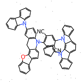 N#Cc1cc(-n2c3ccccc3c3ccc4c5ccccc5n(-c5ccccc5)c4c32)c(C#N)cc1N1c2ccc(-n3c4ccccc4c4ccccc43)cc2Cc2c1ccc1c2oc2ccccc21